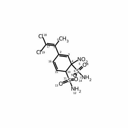 CC(C1=CC([N+](=O)[O-])(S(N)(=O)=O)C(S(N)(=O)=O)C=C1)=C(Cl)Cl